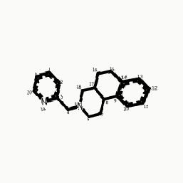 c1ccc(CN2CCC3c4ccccc4CCC3C2)nc1